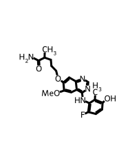 COc1cc2c(Nc3c(F)ccc(O)c3C)ncnc2cc1OCCCC(C)C(N)=O